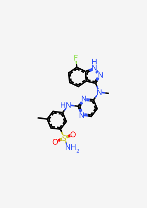 Cc1cc(Nc2nccc(N(C)c3n[nH]c4c(F)cccc34)n2)cc(S(N)(=O)=O)c1